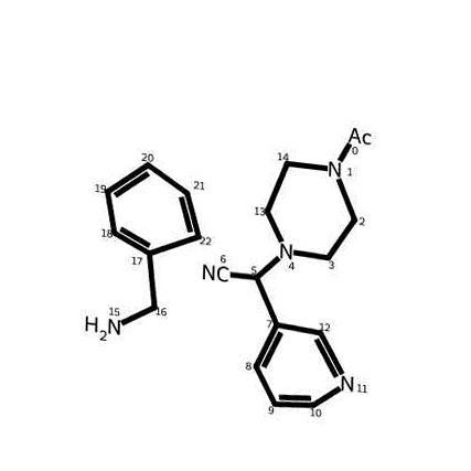 CC(=O)N1CCN(C(C#N)c2cccnc2)CC1.NCc1ccccc1